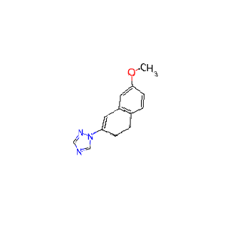 COc1ccc2c(c1)C=C(n1cncn1)CC2